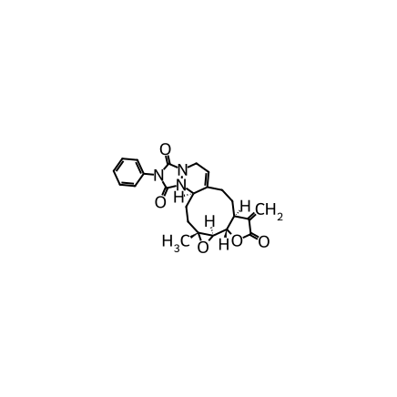 C=C1C(=O)O[C@@H]2[C@H]3O[C@]3(C)CC[C@@H]3C(=CCn4c(=O)n(-c5ccccc5)c(=O)n43)CC[C@@H]12